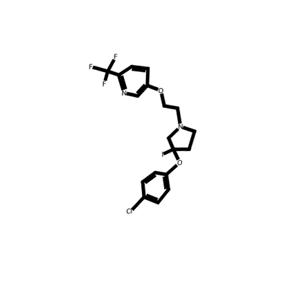 FC(F)(F)c1ccc(OCCN2CCC(I)(Oc3ccc(Cl)cc3)C2)cn1